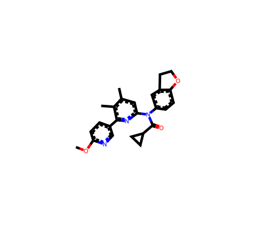 COc1ccc(-c2nc(N(C(=O)C3CC3)c3ccc4c(c3)CCO4)cc(C)c2C)cn1